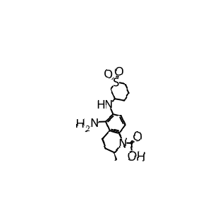 C[C@H]1CCc2c(ccc(NC3CCCS(=O)(=O)C3)c2N)N1C(=O)O